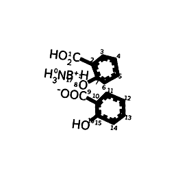 N.O=C(O)c1ccccc1O.O=C([O-])c1ccccc1O.[B+]